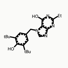 CCc1nc(O)c2c(ncn2Cc2cc(C(C)(C)C)c(O)c(C(C)(C)C)c2)n1